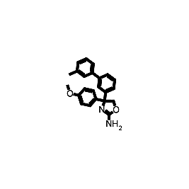 COc1ccc(C2(c3cccc(-c4cccc(C)c4)c3)COC(N)=N2)cc1